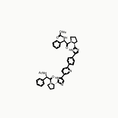 COC(=O)N[C@@H](C(=O)N1CCC[C@H]1c1ncc(-c2ccc(-c3ccc(-c4cnc([C@@H]5CCCN5C(=O)[C@H](NC(C)=O)c5ccccc5)[nH]4)cn3)cc2)[nH]1)c1ccccc1